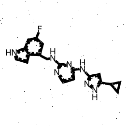 Fc1cc(CNc2nccc(Nc3cc(C4CC4)[nH]n3)n2)c2cc[nH]c2c1